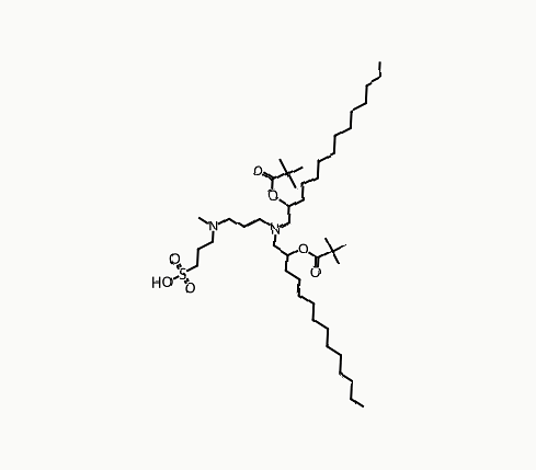 CCCCCCCCCCCCC(CN(CCCN(C)CCCS(=O)(=O)O)CC(CCCCCCCCCCCC)OC(=O)C(C)(C)C)OC(=O)C(C)(C)C